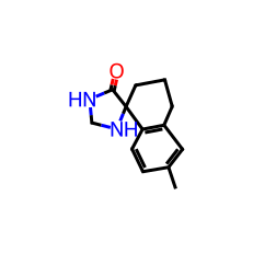 Cc1ccc2c(c1)CCCC21NCNC1=O